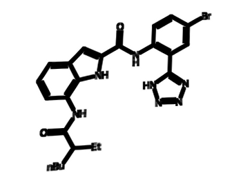 CCCCC(CC)C(=O)Nc1cccc2cc(C(=O)Nc3ccc(Br)cc3-c3nnn[nH]3)[nH]c12